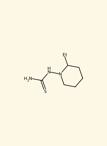 CCC1CCCCN1NC(N)=S